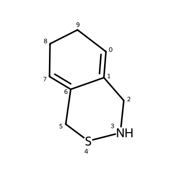 C1=C2CNSCC2=CCC1